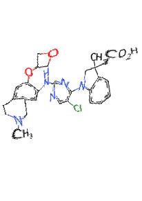 CN1CCc2cc(OC3COC3)c(Nc3ncc(Cl)c(N4CC(C)(CC(=O)O)c5ccccc54)n3)cc2C1